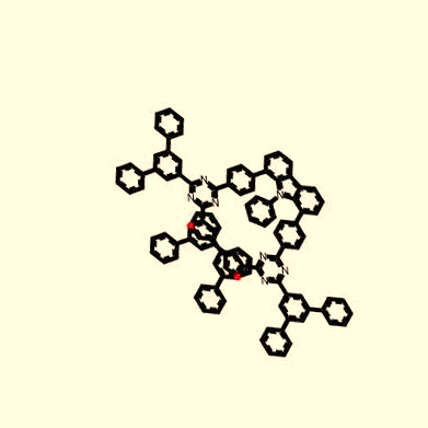 c1ccc(-c2cc(-c3ccccc3)cc(-c3nc(-c4ccc(-c5cccc6c7cccc(-c8ccc(-c9nc(-c%10cc(-c%11ccccc%11)cc(-c%11ccccc%11)c%10)nc(-c%10cc(-c%11ccccc%11)cc(-c%11ccccc%11)c%10)n9)cc8)c7n(-c7ccccc7)c56)cc4)nc(-c4cc(-c5ccccc5)cc(-c5ccccc5)c4)n3)c2)cc1